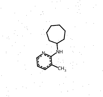 Cc1cccnc1NC1CCCCCC1